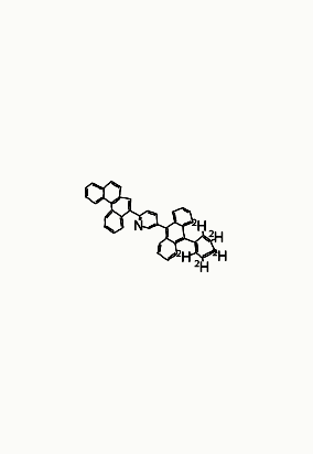 [2H]c1c([2H])c([2H])c(-c2c3ccccc3c(-c3ccc(-c4cc5ccc6ccccc6c5c5ccccc45)nc3)c3ccccc23)c([2H])c1[2H]